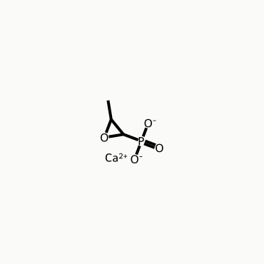 CC1OC1P(=O)([O-])[O-].[Ca+2]